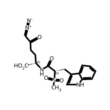 CS(=O)(=O)[C@@H](Cc1c[nH]c2ccccc12)C(=O)N[C@@H](CCC(=O)C=[N+]=[N-])C(=O)O